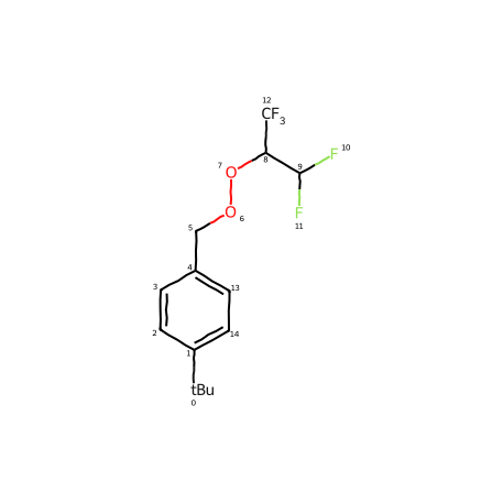 CC(C)(C)c1ccc(COOC(C(F)F)C(F)(F)F)cc1